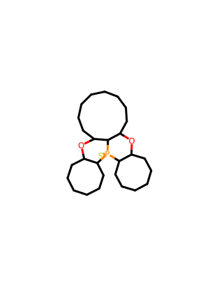 S=P12C3CCCCCCC3OC3CCCCCCCCC(OC4CCCCCCC41)C32